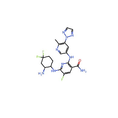 Cc1ncc(Nc2nc(NC3CCC(F)(F)C[C@@H]3N)c(F)cc2C(N)=O)cc1-n1nccn1